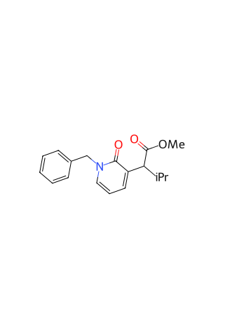 COC(=O)C(c1cccn(Cc2ccccc2)c1=O)C(C)C